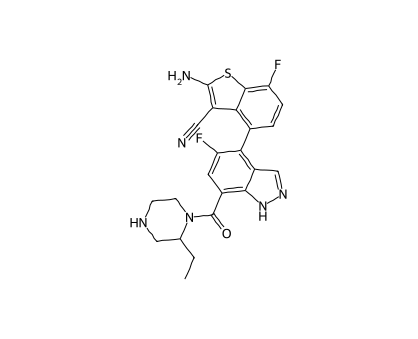 CCC1CNCCN1C(=O)c1cc(F)c(-c2ccc(F)c3sc(N)c(C#N)c23)c2cn[nH]c12